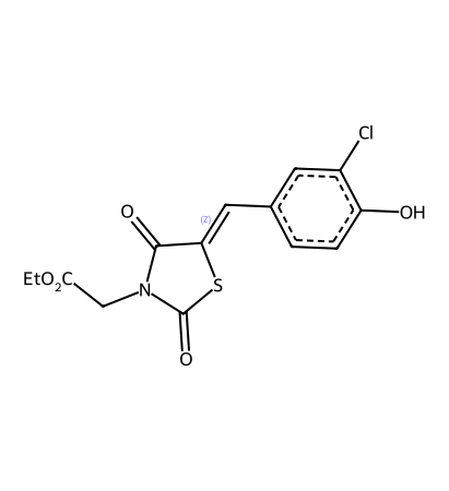 CCOC(=O)CN1C(=O)S/C(=C\c2ccc(O)c(Cl)c2)C1=O